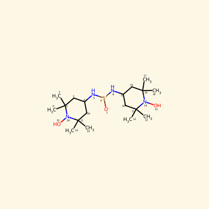 CC1(C)CC(N[S+]([O-])NC2CC(C)(C)N(O)C(C)(C)C2)CC(C)(C)N1O